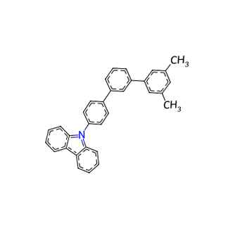 Cc1cc(C)cc(-c2cccc(-c3ccc(-n4c5ccccc5c5ccccc54)cc3)c2)c1